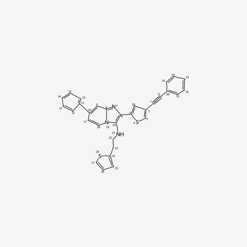 C(#Cc1csc(-c2nc3cc(-c4ccccc4)ccn3c2NCCc2cccs2)c1)c1ccccc1